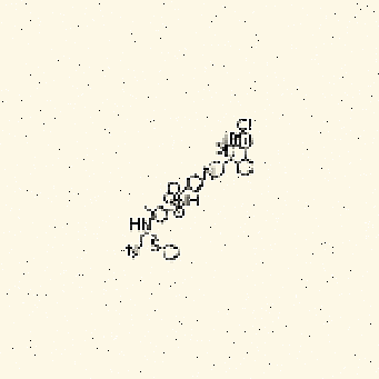 Cc1cc(S(=O)(=O)NC(=O)c2ccc(N3CCC([C@@H](O[Si](C)(C)C(C)(C)C)c4ccccc4-c4ccc(Cl)cc4)CC3)cc2)ccc1N[C@H](CCN(C)C)CSc1ccccc1